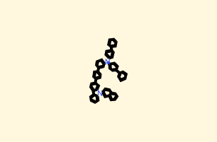 c1ccc(-c2ccc(N(c3ccc(-c4ccccc4)cc3)c3cccc(-c4ccc(-c5ccc6c7ccccc7n(-c7ccc8ccccc8c7)c6c5)cc4)c3)cc2)cc1